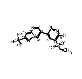 CCS(=O)(=O)c1cc(-c2cnc3cc(C(F)(F)F)nn3c2)cnc1Cl